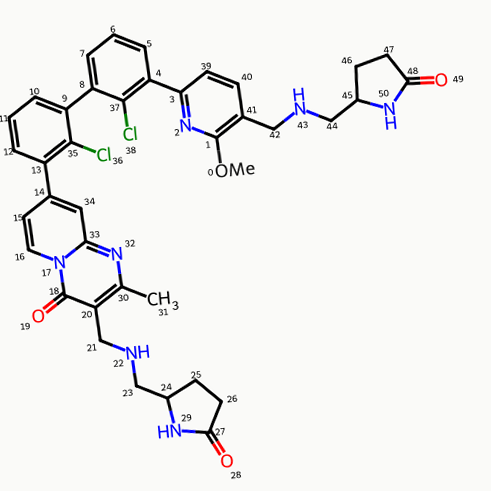 COc1nc(-c2cccc(-c3cccc(-c4ccn5c(=O)c(CNCC6CCC(=O)N6)c(C)nc5c4)c3Cl)c2Cl)ccc1CNCC1CCC(=O)N1